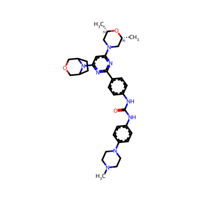 C[C@@H]1CN(c2cc(N3C4CCC3COC4)nc(-c3ccc(NC(=O)Nc4ccc(N5CCN(C)CC5)cc4)cc3)n2)C[C@H](C)O1